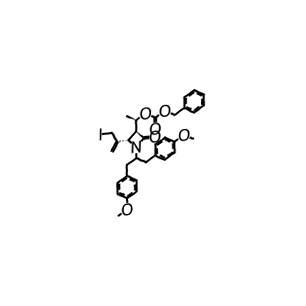 C=C(CI)[C@@H]1[C@@H]([C@@H](C)OC(=O)OCc2ccccc2)C(=O)N1C(Cc1ccc(OC)cc1)Cc1ccc(OC)cc1